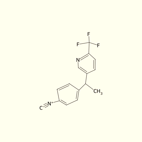 [C-]#[N+]c1ccc(C(C)c2ccc(C(F)(F)F)nc2)cc1